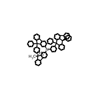 CC1(C)c2ccccc2-c2ccc(N(c3cccc(C4(c5ccccc5)c5ccccc5C5(c6ccccc6)c6ccccc6-c6cccc4c65)c3)c3ccc4c(c3)C(c3ccccc3)(c3ccccc3)c3ccccc3-4)cc21